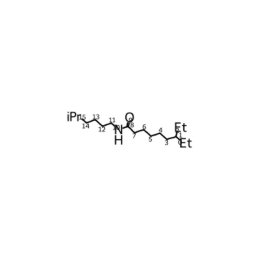 CCC(CC)CCCCCC(=O)NCCCCC(C)C